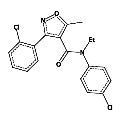 CCN(C(=O)c1c(-c2ccccc2Cl)noc1C)c1ccc(Cl)cc1